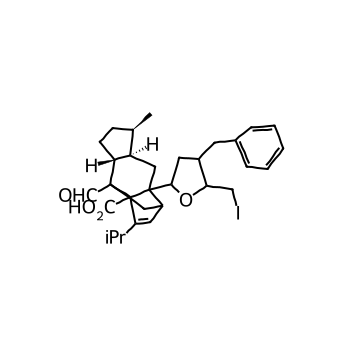 CC(C)C1=CC2CC3(C=O)[C@@H]4CC[C@@H](C)[C@H]4CC2(C2CC(Cc4ccccc4)C(CI)O2)C13C(=O)O